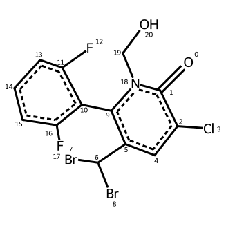 O=c1c(Cl)cc(C(Br)Br)c(-c2c(F)cccc2F)n1CO